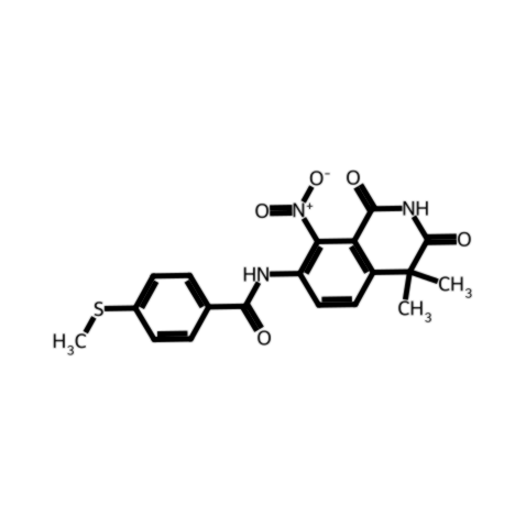 CSc1ccc(C(=O)Nc2ccc3c(c2[N+](=O)[O-])C(=O)NC(=O)C3(C)C)cc1